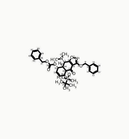 CN(C)[C@@H]1c2onc(OCc3ccccc3)c2C(=O)[C@@]2(O[Si](C)(C)C(C)(C)C)C(=O)C=C[C@H](OC(=O)OCc3ccccc3)[C@@H]12